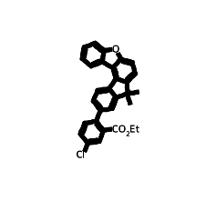 CCOC(=O)c1cc(Cl)ccc1-c1ccc2c(c1)C(C)(C)c1ccc3oc4ccccc4c3c1-2